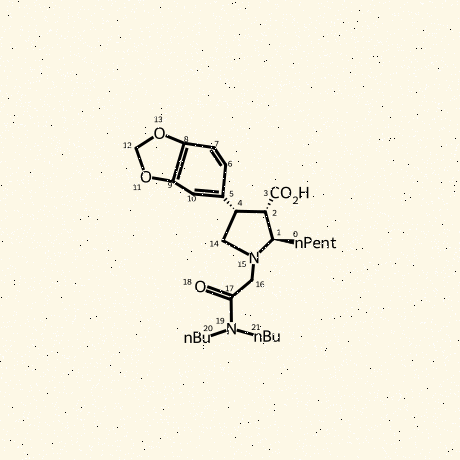 CCCCC[C@@H]1[C@@H](C(=O)O)[C@@H](c2ccc3c(c2)OCO3)CN1CC(=O)N(CCCC)CCCC